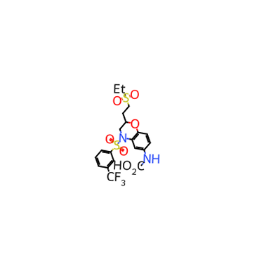 CCS(=O)(=O)CCC1CN(S(=O)(=O)c2cccc(C(F)(F)F)c2)c2cc(NC(=O)O)ccc2O1